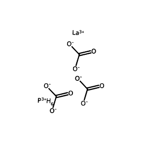 O=C([O-])[O-].O=C([O-])[O-].O=C([O-])[O-].[La+3].[PH6+3]